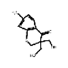 Cc1ccc2c(c1)SCC(CO)(CO)C2=O